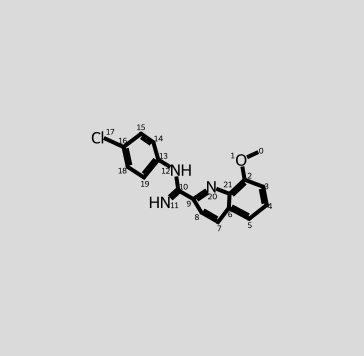 COc1cccc2ccc(C(=N)Nc3ccc(Cl)cc3)nc12